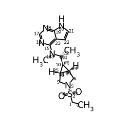 CCS(=O)(=O)N1C[C@@H]2[C@H](C1)[C@H]2[C@@H](C)N(C)c1ncnc2[nH]ccc12